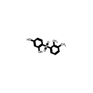 Cc1cccc(S(=O)(=O)c2ccc(O)cc2O)c1C